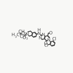 CC(C)(C)OC(=O)N1CCc2cc(Nc3ncc4c(=O)n(-c5c(Cl)cccc5Cl)cc(C=O)c4n3)ccc2C1